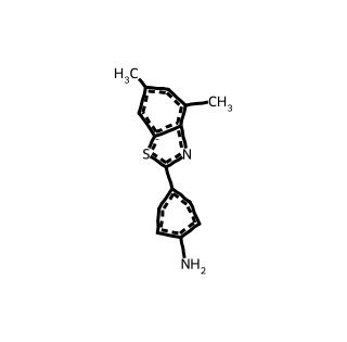 Cc1cc(C)c2nc(-c3ccc(N)cc3)sc2c1